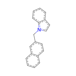 c1ccc2cc(Cn3ccc4ccccc43)ccc2c1